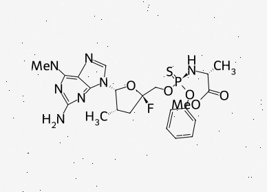 CNc1nc(N)nc2c1ncn2[C@@H]1O[C@](F)(CO[P@@](=S)(N[C@H](C)C(=O)OC)Oc2ccccc2)C[C@@H]1C